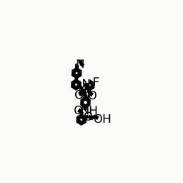 CN(C)Cc1ccc(-c2cccc(-n3c(=O)n(C4CCC(NC(=O)c5ccccc5OCCO)CC4)c(=O)c4cc(F)cnc43)c2)cc1